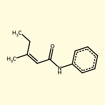 CCC(C)=CC(=O)Nc1ccccc1